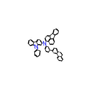 c1ccc(-n2c3ccccc3c3ccc(N(c4cccc(-c5ccc6ccc7ccccc7c6c5)c4)c4ccc5c6c(cccc46)-c4ccccc4-5)cc32)cc1